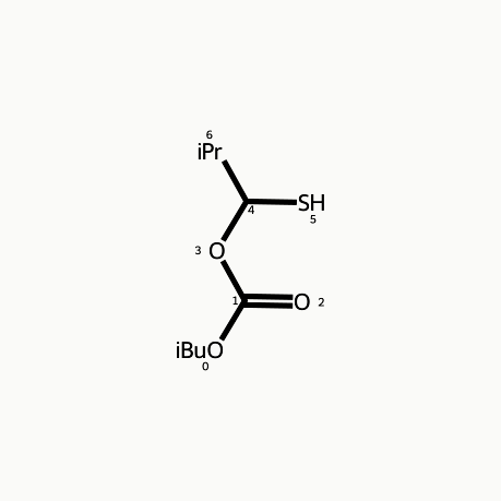 CC(C)COC(=O)OC(S)C(C)C